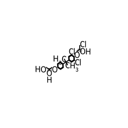 CC(C)(c1ccc(OC[C@H](O)CO)cc1)c1cc(Cl)c(OC[C@H](O)CCl)c(Cl)c1